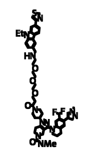 CCn1c2ccc(CNCCOCCOCCOCCC(=O)N3CCC(n4nc(N5CCCc6cc(-c7cnn(C)c7)c(C(F)F)cc65)c5c4CCN(C(=O)NC)C5)CC3)cc2c2ccc(-c3cscn3)cc21